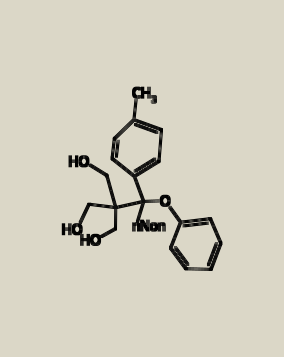 CCCCCCCCCC(Oc1ccccc1)(c1ccc(C)cc1)C(CO)(CO)CO